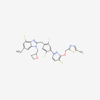 O=C(O)c1cc(F)c2nc(Cc3cc(F)c(-c4ccc(F)c(OCc5ncc(C(F)(F)F)s5)n4)cc3F)n(CC3CCO3)c2c1